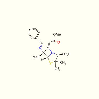 COC(=O)C=C1N2[C@@H](C(=O)O)C(C)(C)S[C@@H]2[C@@]1(N=Cc1ccccc1)SC